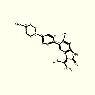 C/C(O)=C1\C(=O)Nc2cc(Cl)c(-c3ccc(N4CCC(O)CC4)cc3)cc21